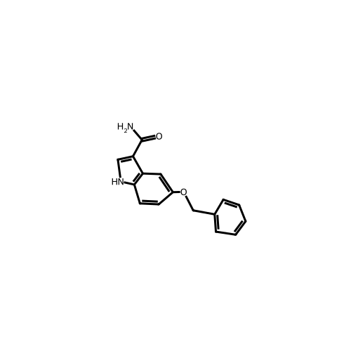 NC(=O)c1c[nH]c2ccc(OCc3ccccc3)cc12